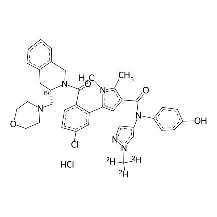 Cl.[2H]C([2H])([2H])n1cc(N(C(=O)c2cc(-c3cc(Cl)ccc3C(=O)N3Cc4ccccc4C[C@H]3CN3CCOCC3)n(C)c2C)c2ccc(O)cc2)cn1